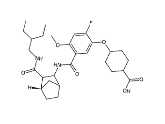 CCC(CC)CNC(=O)C1C(NC(=O)c2cc(OC3CCC(C(=O)O)CC3)c(F)cc2OC)C2CC[C@H]1C2